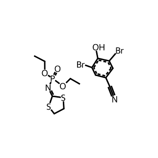 CCOP(=O)(N=C1SCCS1)OCC.N#Cc1cc(Br)c(O)c(Br)c1